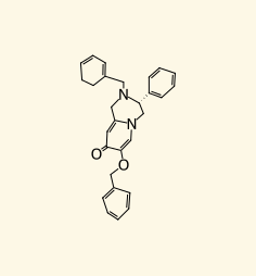 O=c1cc2n(cc1OCc1ccccc1)C[C@@H](c1ccccc1)N(CC1=CC=CCC1)C2